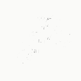 O=C(O)CN1C(=O)[C@@H](NC(=O)c2cc3ccccc3[nH]2)N=C(c2ccccc2)c2ccccc21